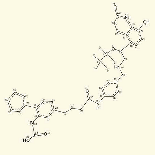 CC(C)(C)[Si](C)(C)OC(CNCc1ccc(NC(=O)CCCc2ccc(-c3ccccc3)c(NC(=O)O)c2)cc1)c1ccc(O)c2[nH]c(=O)ccc12